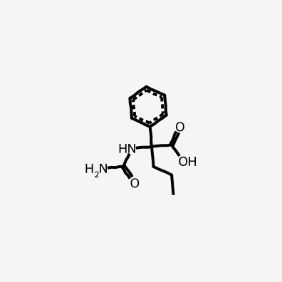 CCCC(NC(N)=O)(C(=O)O)c1ccccc1